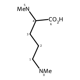 CNCCCC(NC)C(=O)O